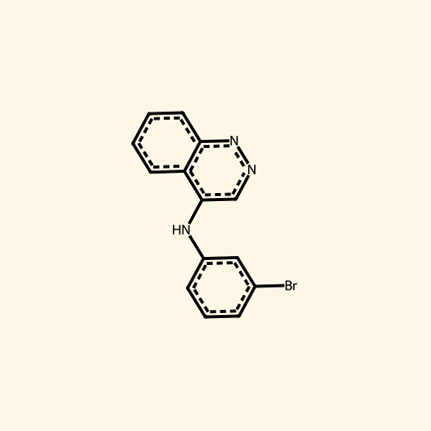 Brc1cccc(Nc2cnnc3ccccc23)c1